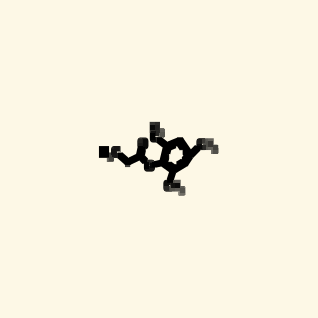 C[CH]C(=O)Oc1c(C)cc(C)cc1C